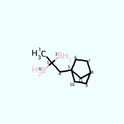 BC(B)(C)CC12CCC(CC1)C2